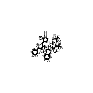 CN(C(=O)[C@@H](NC(=O)C(F)(F)F)C(C)(C)C)[C@@H](Cc1ccccc1)C(=O)NC(CC1CCNC1=O)C(=O)C(=O)c1ccccc1